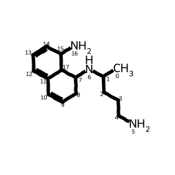 CC(CCCN)NC1CC=CC2=CC=CC(N)C21